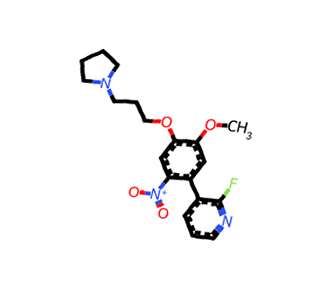 COc1cc(-c2cccnc2F)c([N+](=O)[O-])cc1OCCCN1CCCC1